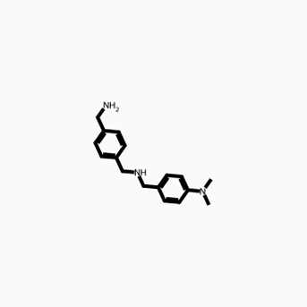 CN(C)c1ccc(CNCc2ccc(CN)cc2)cc1